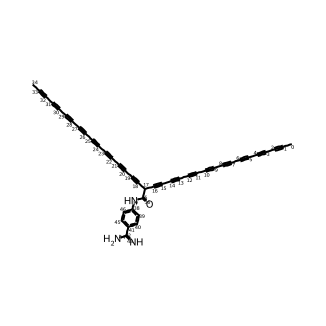 CC#CC#CC#CC#CC#CC#CC#CC#CC(C#CC#CC#CC#CC#CC#CC#CC#CC)C(=O)Nc1ccc(C(=N)N)cc1